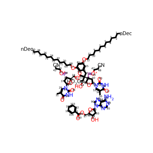 CCCCCCCCCCCCCCCCCCCCCCOc1cc(CC(CC(=O)O)(C(=O)OC[C@H]2O[C@@H](n3cc(C)c(=O)[nH]c3=O)C[C@@H]2/P=[O+]/CCC#N)[C@@]2(/P=[O+]/CCC#N)C[C@H](n3cc(C)c(=O)[nH]c3=O)O[C@@H]2CO)cc(OCCCCCCCCCCCCCCCCCCCCCC)c1.Nc1ncnc2c1ncn2[C@H]1C[C@H](O)[C@@H](COC(=O)c2ccccc2)O1